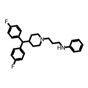 Fc1ccc(C(c2ccc(F)cc2)C2CCN(CCCNc3ccccc3)CC2)cc1